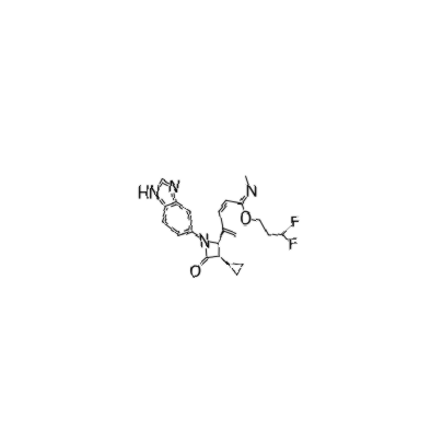 C=C(/C=C\C(=N/C)OCCC(F)F)[C@H]1[C@@H](C2CC2)C(=O)N1c1ccc2[nH]cnc2c1